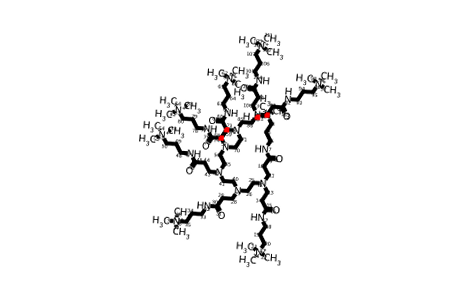 C[N+](C)(C)CCCNC(=O)CCN(CCC(=O)NCCC[N+](C)(C)C)CCN(CCC(=O)NCCC[N+](C)(C)C)CCN(CCC(=O)NCCC[N+](C)(C)C)CCN(CCC(=O)NCCC[N+](C)(C)C)CCN(CCC(=O)NCCC[N+](C)(C)C)CCN(CCC(=O)NCCC[N+](C)(C)C)CCC(=O)NCCC[N+](C)(C)C